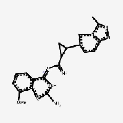 COc1cccc2/c(=N/C(=N)C3CC3c3ccc4nnc(C)n4c3)[nH]c(N)nc12